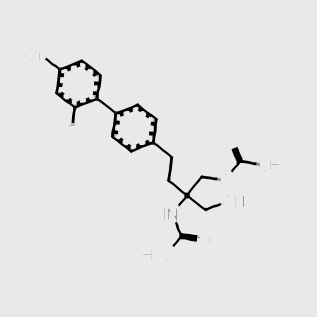 CCC(CCc1ccc(-c2ccc(Br)cc2F)cc1)(COC(C)=O)NC(C)=O